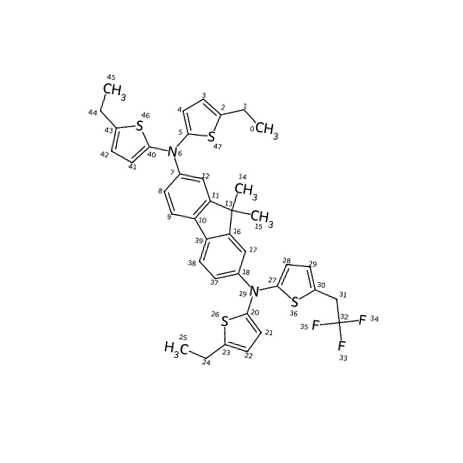 CCc1ccc(N(c2ccc3c(c2)C(C)(C)c2cc(N(c4ccc(CC)s4)c4ccc(CC(F)(F)F)s4)ccc2-3)c2ccc(CC)s2)s1